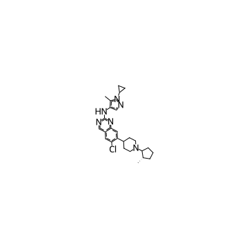 Cc1c(Nc2ncc3cc(Cl)c(C4CCN(C5CCC[C@@H]5C)CC4)cc3n2)cnn1C1CC1